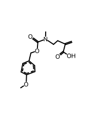 C=C(CCN(C)C(=O)OCc1ccc(OC)cc1)C(=O)O